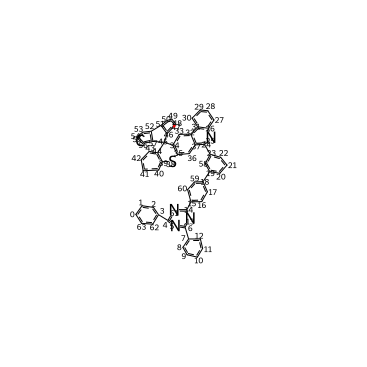 c1ccc(-c2nc(-c3ccccc3)nc(-c3ccc(-c4cccc(-c5nc6ccccc6c6cc7c(cc56)Sc5ccccc5C75c6ccccc6-c6ccccc65)c4)cc3)n2)cc1